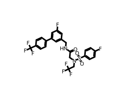 O=C(CN(CC(F)(F)F)S(=O)(=O)c1ccc(F)cc1)NCc1cc(F)cc(-c2ccc(C(F)(F)F)cc2)c1